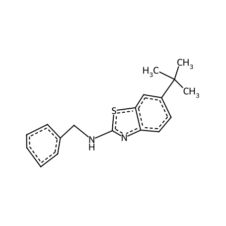 CC(C)(C)c1ccc2nc(NCc3ccccc3)sc2c1